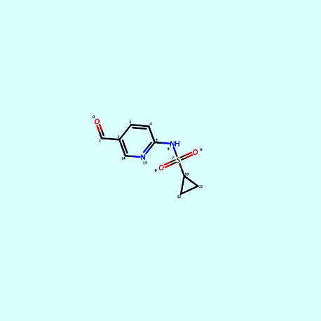 O=Cc1ccc(NS(=O)(=O)C2CC2)nc1